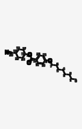 CCCCCCCCOc1ccc(C(=O)OC2CCC(C#N)CC2)cc1